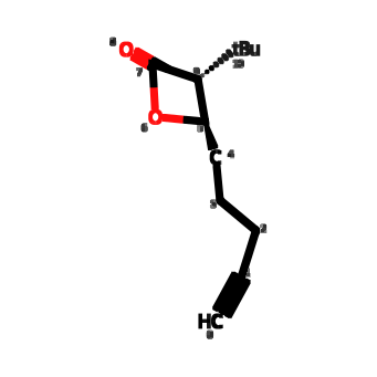 C#CCCC[C@H]1OC(=O)[C@@H]1C(C)(C)C